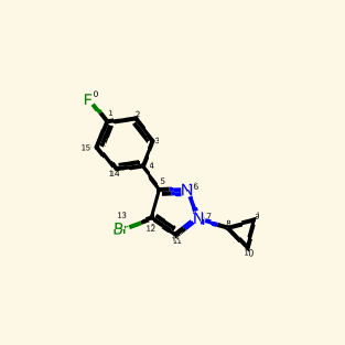 Fc1ccc(-c2nn(C3CC3)cc2Br)cc1